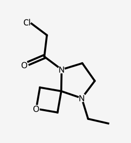 CCN1CCN(C(=O)CCl)C12COC2